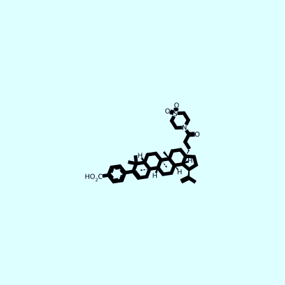 C=C(C)[C@@H]1CC[C@]2(CCC(=O)N3CCS(=O)(=O)CC3)CC[C@]3(C)[C@H](CC[C@@H]4[C@@]5(C)CC=C(c6ccc(C(=O)O)cc6)C(C)(C)[C@@H]5CC[C@]43C)[C@@H]12